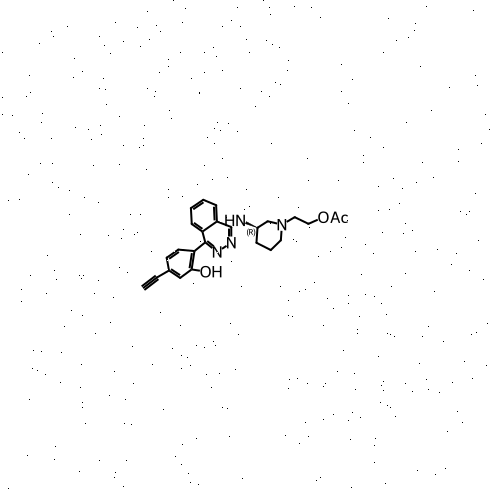 C#Cc1ccc(-c2nnc(N[C@@H]3CCCN(CCOC(C)=O)C3)c3ccccc23)c(O)c1